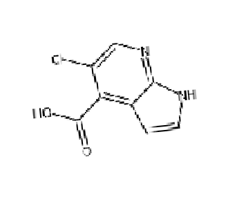 O=C(O)c1c(Cl)cnc2[nH]ccc12